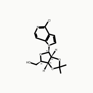 CC1(C)O[C@@H]2[C@H](O1)[C@@H](CO)O[C@H]2n1ccc2c(Cl)nccc21